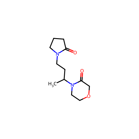 CC(CCN1CCCC1=O)N1CCOCC1=O